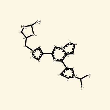 CCC(CC)n1cc(-c2nc(-c3cnn(CC4CNC(O)O4)c3)cn3nccc23)cn1